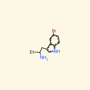 CCC(N)Cc1c[nH]c2ccc(Br)cc12